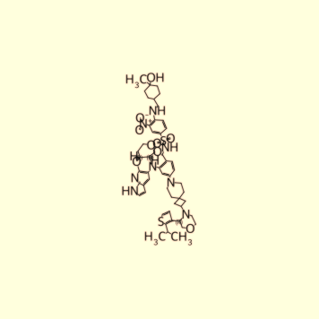 CC(C)c1sccc1[C@@H]1COCCN1C1CC2(CCN(c3ccc(C(=O)NS(=O)(=O)c4ccc(NCC5CCC(C)(O)CC5)c([N+](=O)[O-])c4)c(N4c5cc6cc[nH]c6nc5O[C@@H]5CCOC[C@H]54)c3)CC2)C1